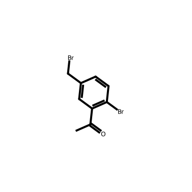 CC(=O)c1cc(CBr)ccc1Br